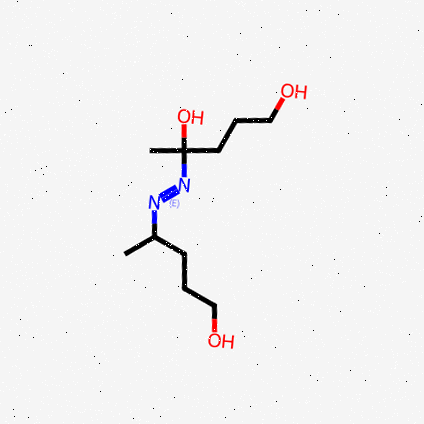 CC(CCCO)/N=N/C(C)(O)CCCO